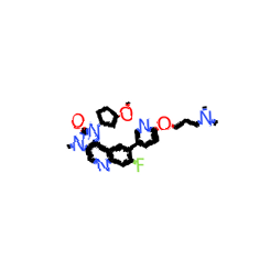 CO[C@H]1CC[C@@H](n2c(=O)n(C)c3cnc4cc(F)c(-c5ccc(OCCCN(C)C)nc5)cc4c32)C1